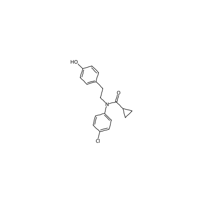 O=C(C1CC1)N(CCc1ccc(O)cc1)c1ccc(Cl)cc1